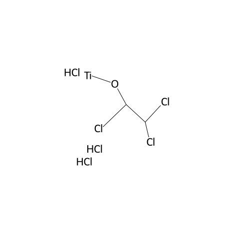 Cl.Cl.Cl.ClC(Cl)C(Cl)[O][Ti]